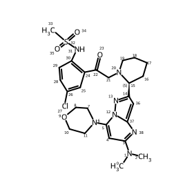 CN(C)c1cc(N2CCOCC2)n2nc([C@@H]3CCCCN3CC(=O)c3cc(Cl)ccc3NS(C)(=O)=O)cc2n1